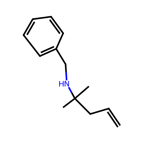 C=CCC(C)(C)NCc1ccccc1